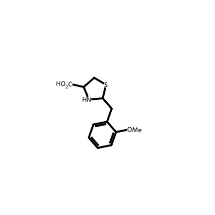 COc1ccccc1CC1NC(C(=O)O)CS1